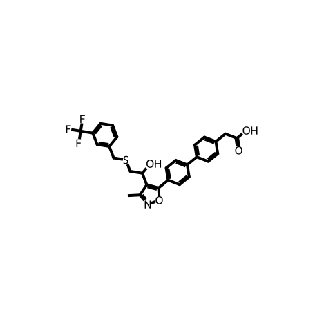 Cc1noc(-c2ccc(-c3ccc(CC(=O)O)cc3)cc2)c1C(O)CSCc1cccc(C(F)(F)F)c1